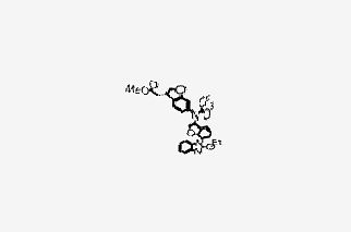 CCOc1nc2ccccc2n1-c1cccc2c1OC[C@@H]2N(C(=O)C(F)(F)F)c1ccc2c(c1)OC[C@H]2CC(=O)OC